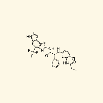 CCC(=O)Nc1cc(NC(C(=O)Nc2nc3c(C(F)(F)F)cc4[nH]ncc4c3s2)c2ccccc2)ccc1Cl